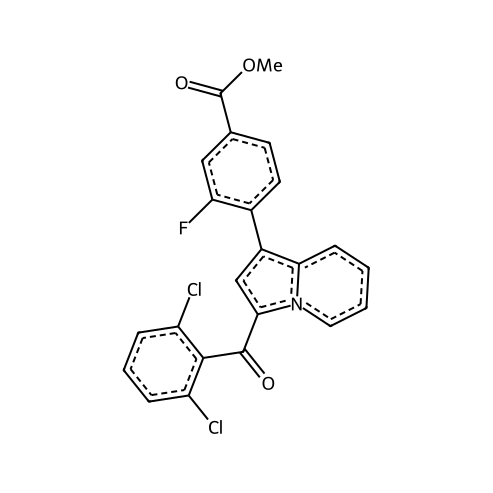 COC(=O)c1ccc(-c2cc(C(=O)c3c(Cl)cccc3Cl)n3ccccc23)c(F)c1